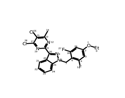 CCOc1cc(F)c(Cn2nc(-c3nc(C)c(Cl)c(Cl)n3)c3ccccc32)c(F)c1